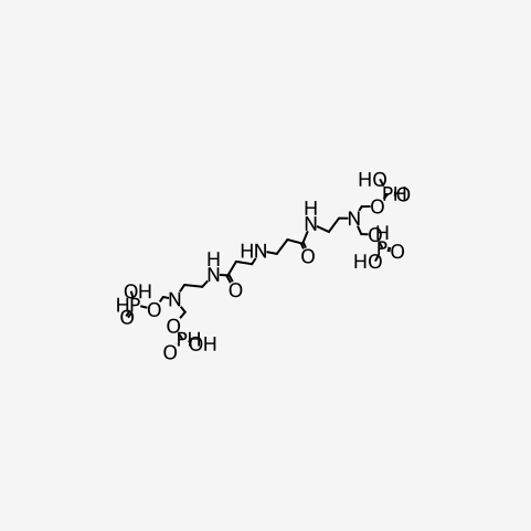 O=C(CCNCCC(=O)NCCN(CO[PH](=O)O)CO[PH](=O)O)NCCN(CO[PH](=O)O)CO[PH](=O)O